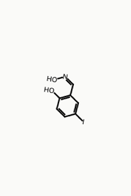 O/N=C\c1cc(I)ccc1O